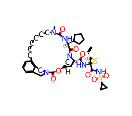 C=C[C@@H]1S[C@]1(NC(=O)[C@@H]1C[C@@H]2CN1C(=O)[C@H](C1CCCC1)NC(=O)N(C)CCCCCCc1cccc3c1CN(C3)C(=O)O2)C(=O)NS(=O)(=O)C1CC1